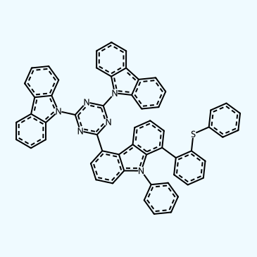 c1ccc(Sc2ccccc2-c2cccc3c4c(-c5nc(-n6c7ccccc7c7ccccc76)nc(-n6c7ccccc7c7ccccc76)n5)cccc4n(-c4ccccc4)c23)cc1